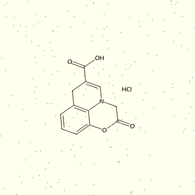 Cl.O=C1CN2C=C(C(=O)O)Cc3cccc(c32)O1